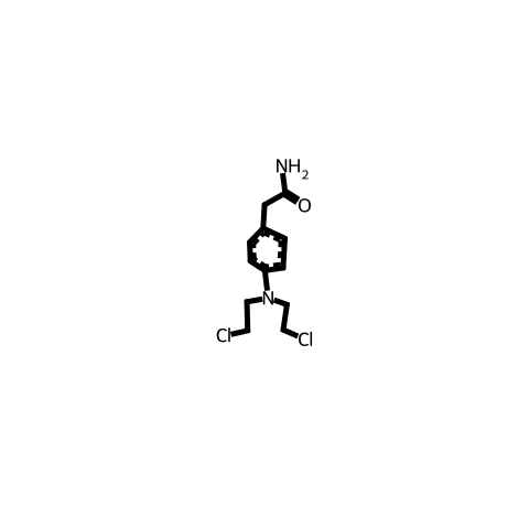 NC(=O)Cc1ccc(N(CCCl)CCCl)cc1